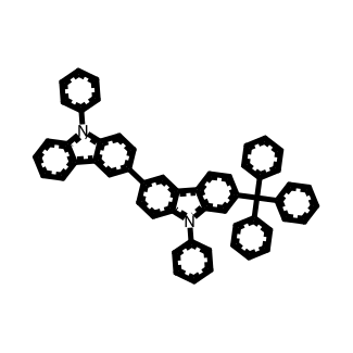 c1ccc(-n2c3ccccc3c3cc(-c4ccc5c(c4)c4ccc(C(c6ccccc6)(c6ccccc6)c6ccccc6)cc4n5-c4ccccc4)ccc32)cc1